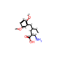 CCC(Cc1cc(OC)ccc1OC)CC(CN)C(=O)O